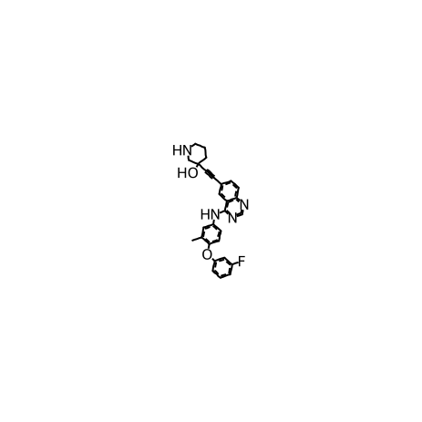 Cc1cc(Nc2ncnc3ccc(C#CC4(O)CCCNC4)cc23)ccc1Oc1cccc(F)c1